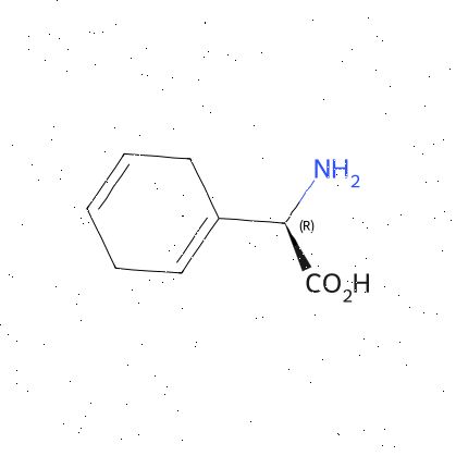 N[C@@H](C(=O)O)C1=CCC=CC1